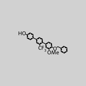 COc1cc(-c2ccc(-c3ccc(O)cc3)cc2C(F)(F)F)ccc1OCc1ccccc1